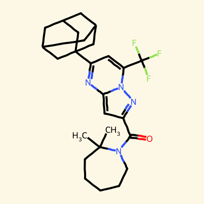 CC1(C)CCCCCN1C(=O)c1cc2nc(C34CC5CC(CC(C5)C3)C4)cc(C(F)(F)F)n2n1